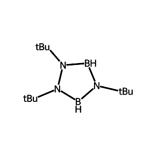 CC(C)(C)N1BN(C(C)(C)C)N(C(C)(C)C)B1